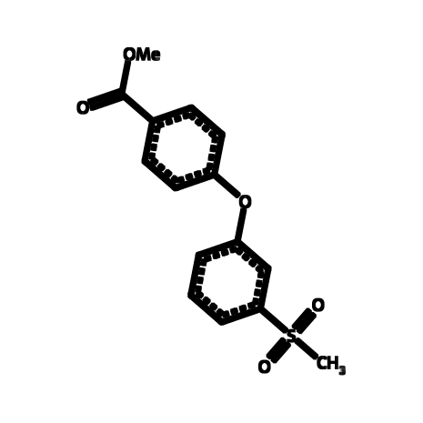 COC(=O)c1ccc(Oc2cccc(S(C)(=O)=O)c2)cc1